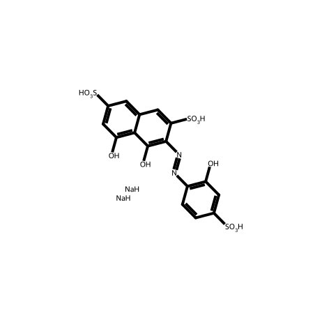 O=S(=O)(O)c1ccc(N=Nc2c(S(=O)(=O)O)cc3cc(S(=O)(=O)O)cc(O)c3c2O)c(O)c1.[NaH].[NaH]